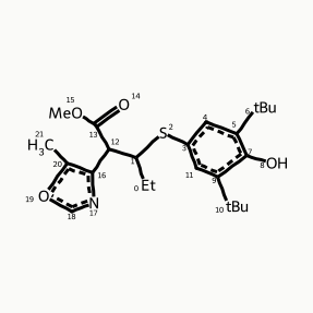 CCC(Sc1cc(C(C)(C)C)c(O)c(C(C)(C)C)c1)C(C(=O)OC)c1ncoc1C